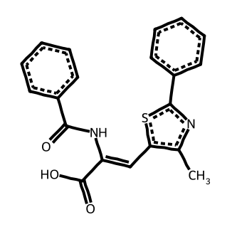 Cc1nc(-c2ccccc2)sc1/C=C(\NC(=O)c1ccccc1)C(=O)O